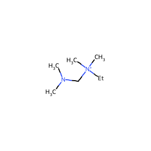 CC[N+](C)(C)CN(C)C